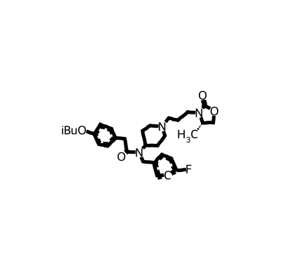 CC(C)COc1ccc(CC(=O)N(Cc2ccc(F)cc2)C2CCN(CCCN3C(=O)OC[C@@H]3C)CC2)cc1